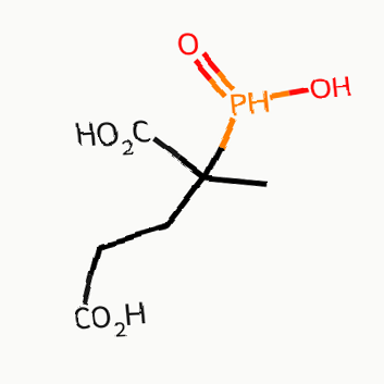 CC(CCC(=O)O)(C(=O)O)[PH](=O)O